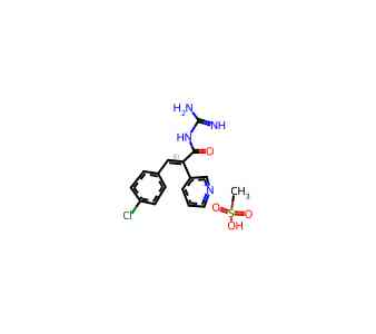 CS(=O)(=O)O.N=C(N)NC(=O)/C(=C/c1ccc(Cl)cc1)c1cccnc1